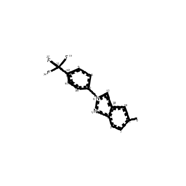 Cc1ccc2nn(-c3ccc(C(F)(F)F)cc3)cc2c1